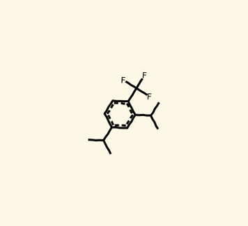 CC(C)c1ccc(C(F)(F)F)c(C(C)C)c1